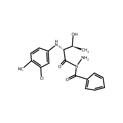 C[C@H](O)[C@@H](Nc1ccc(C#N)c(Cl)c1)C(=O)N(N)C(=O)c1ccccc1